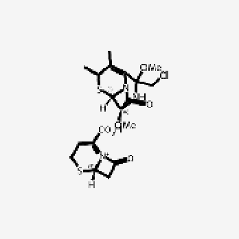 COC1(CCl)N[C@@]2(OC)C(=O)N3C1=C(C)C(C)S[C@H]32.O=C(O)C1=[N+]2C(=O)C[C@@H]2SCC1